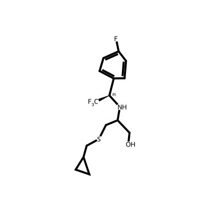 OCC(CSCC1CC1)N[C@H](c1ccc(F)cc1)C(F)(F)F